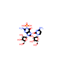 Nc1ccn([C@@H]2O[C@H](CO)[C@@H](O)[C@H]2O)c(=O)n1.Nc1nc2c(ncn2[C@@H]2O[C@H](CO)[C@@H](O)[C@H]2O)c(=O)n1P(=O)(O)O